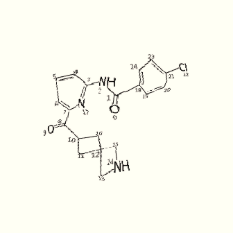 O=C(Nc1cccc(C(=O)C2CC3(CNC3)C2)n1)c1ccc(Cl)cc1